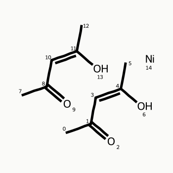 CC(=O)/C=C(/C)O.CC(=O)/C=C(/C)O.[Ni]